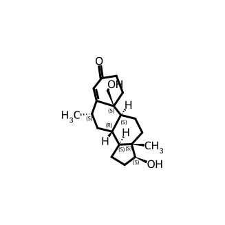 C[C@H]1C[C@@H]2[C@H](CC[C@]3(C)[C@@H](O)CC[C@@H]23)[C@@]2(CO)CCC(=O)C=C12